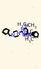 CN(C)c1cc(N[C@H]2CC3CC[C@]2(C)C3(C)C)nc(N2CCN(Cc3ccccc3)CC2)n1